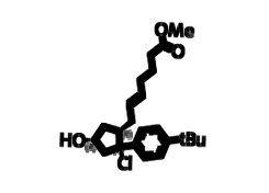 COC(=O)CCCC=CC[C@@H]1C[C@@H](O)C[C@]1(Cl)c1ccc(C(C)(C)C)cc1